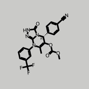 COC(=O)OC1=C(C)N(c2cccc(C(F)(F)F)c2)c2n[nH]c(=O)n2[C@@H]1c1ccc(C#N)cc1